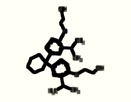 CC(C)c1cc(C2(c3ccc(OCCO)c(C(C)C)c3)CCCCC2)ccc1OCCO